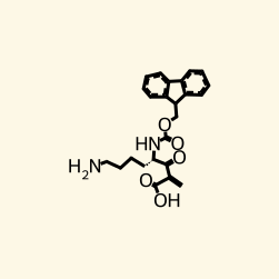 C=C(C(=O)O)C(=O)[C@H](CCCCN)NC(=O)OCC1c2ccccc2-c2ccccc21